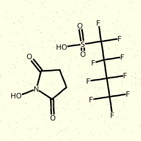 O=C1CCC(=O)N1O.O=S(=O)(O)C(F)(F)C(F)(F)C(F)(F)C(F)(F)F